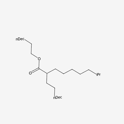 CCCCCCCCCCCCOC(=O)C(CCCCCCCCCCCC)CCCCCC(C)C